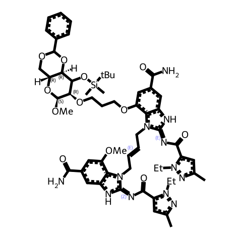 CCn1nc(C)cc1C(=O)/N=c1/[nH]c2cc(C(N)=O)cc(OC)c2n1C/C=C/Cn1/c(=N/C(=O)c2cc(C)nn2CC)[nH]c2cc(C(N)=O)cc(OCCCO[C@@H]3C(O[Si](C)(C)C(C)(C)C)[C@@H]4OC(c5ccccc5)OC[C@H]4O[C@@H]3OC)c21